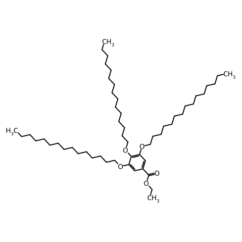 CCCCCCCCCCCCCCCOc1cc(C(=O)OCC)cc(OCCCCCCCCCCCCCCC)c1OCCCCCCCCCCCCCCC